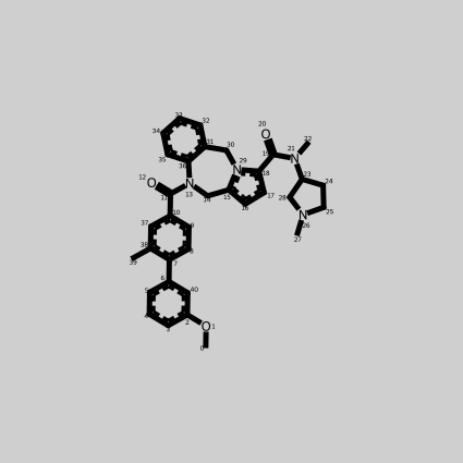 COc1cccc(-c2ccc(C(=O)N3Cc4ccc(C(=O)N(C)C5CCN(C)C5)n4Cc4ccccc43)cc2C)c1